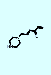 C=CC(=O)C=CCN1CCNCC1